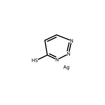 Sc1ccnnn1.[Ag]